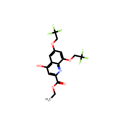 CCOC(=O)c1cc(O)c2cc(OCC(F)(F)F)cc(OCC(F)(F)F)c2n1